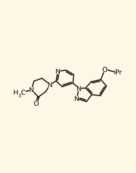 CC(C)Oc1ccc2cnn(-c3ccnc(N4CCN(C)C(=O)C4)c3)c2c1